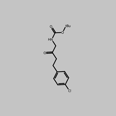 CC(C)(C)OC(=O)NCC(=O)CCc1ccc(Cl)cc1